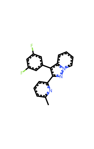 Cc1cccc(-c2nn3ccccc3c2-c2cc(F)cc(F)c2)n1